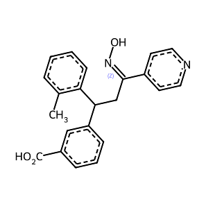 Cc1ccccc1C(C/C(=N/O)c1ccncc1)c1cccc(C(=O)O)c1